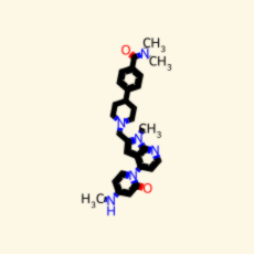 CNc1ccn(-c2ccnc3c2cc(CN2CCC(c4ccc(C(=O)N(C)C)cc4)CC2)n3C)c(=O)c1